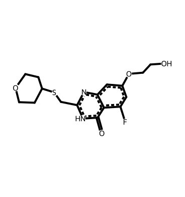 O=c1[nH]c(CSC2CCOCC2)nc2cc(OCCO)cc(F)c12